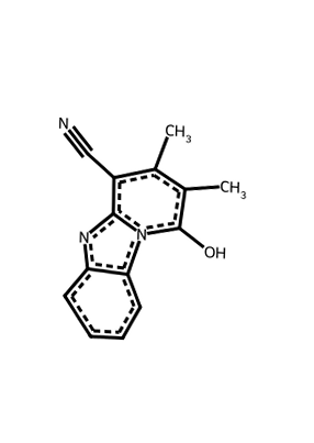 Cc1c(C)c(O)n2c(nc3ccccc32)c1C#N